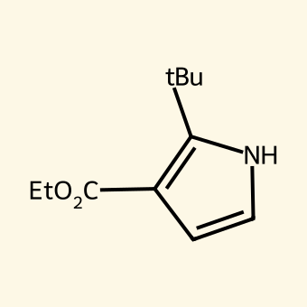 CCOC(=O)c1cc[nH]c1C(C)(C)C